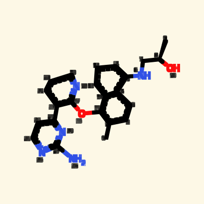 Cc1ccc2c(NC[C@@H](C)O)cccc2c1Oc1ncccc1-c1ccnc(N)n1